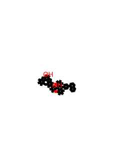 Cc1c(C)c2c3c(c1C)Cc1c(O)c(C)c4c(c1-3)-c1c(c(C)c(-c3c(C)c(C)c(C)c(-c5c6c(C)c(C)c(C)c(C)c6c(-c6ccc(-c7cccc8ccccc78)cc6)c6c(C)c(C)c(C)c(C)c56)c3O)c(C)c1C4)C2